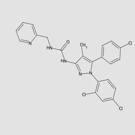 Cc1c(NC(=O)NCc2ccccn2)nn(-c2ccc(Cl)cc2Cl)c1-c1ccc(Cl)cc1